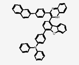 C1=CC2=NC(c3ccc(-c4ccc5ccccc5c4)cc3)=C(c3ccc(-c4ccc(N(c5ccccc5)c5ccccc5)cc4)c4oc5ccccc5c34)NC2C=C1